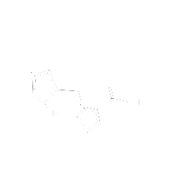 Cc1noc(C)c1Cn1cccc1C(=O)O